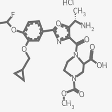 COC(=O)N1CCN(C(=O)c2nc(-c3ccc(OC(F)F)c(OCC4CC4)c3)oc2[C@H](C)N)C(C(=O)O)C1.Cl